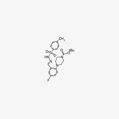 Cc1ccc(S(=O)(=O)N/N=C/c2cc(F)ccc2N2CCN(C(=O)OC(C)(C)C)CC2)cc1